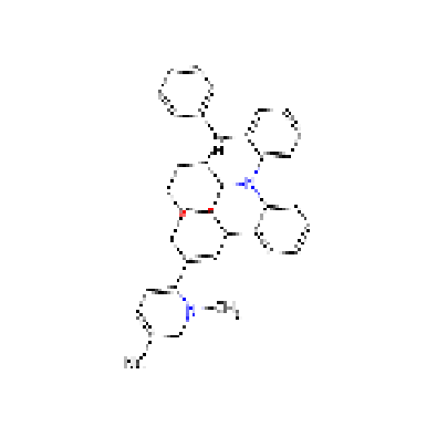 CN1CC(C#N)=CC=C1C1=CC(c2ccccc2N2c3ccccc3[SiH](c3ccccc3)C3CCC=CC32)CCC1